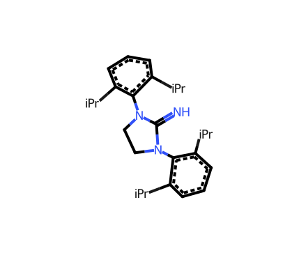 CC(C)c1cccc(C(C)C)c1N1CCN(c2c(C(C)C)cccc2C(C)C)C1=N